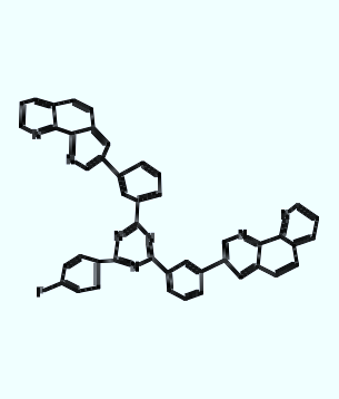 Fc1ccc(-c2nc(-c3cccc(-c4cnc5c(ccc6cccnc65)c4)c3)nc(-c3cccc(-c4cnc5c(ccc6cccnc65)c4)c3)n2)cc1